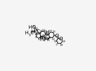 CC(=NO)[C@H]1CC[C@H]2C3=CC=C4C[C@@H](OC5CCCCO5)CC[C@]4(C)[C@H]3CC[C@]12C